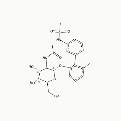 CC(=O)NC1[C@H](Oc2cccc(C)c2-c2cccc(NS(C)(=O)=O)c2)OC(CO)[C@H](O)[C@@H]1O